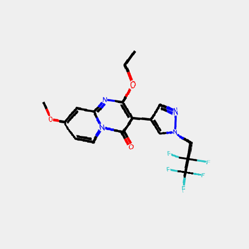 CCOc1nc2cc(OC)ccn2c(=O)c1-c1cnn(CC(F)(F)C(F)(F)F)c1